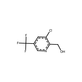 OCc1ncc(C(F)(F)F)cc1Cl